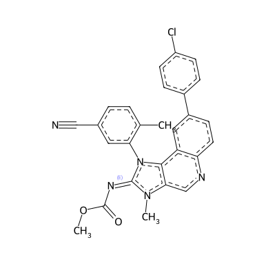 COC(=O)/N=c1\n(C)c2cnc3ccc(-c4ccc(Cl)cc4)cc3c2n1-c1cc(C#N)ccc1C